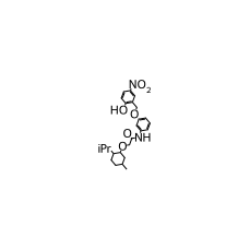 CC1CCC(C(C)C)C(OCC(=O)Nc2cccc(OCc3cc([N+](=O)[O-])ccc3O)c2)C1